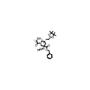 C[C@H](N)C(=O)N1C[C@H](CCB2OC(C)(C)C(C)(C)O2)CC(N=[N+]=[N-])(C(=O)OCc2ccccc2)C1